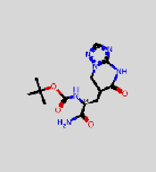 CC(C)(C)OC(=O)N[C@@H](CC1Cn2ncnc2NC1=O)C(N)=O